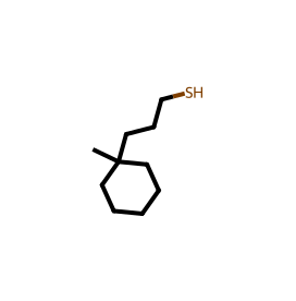 CC1(CCCS)CCCCC1